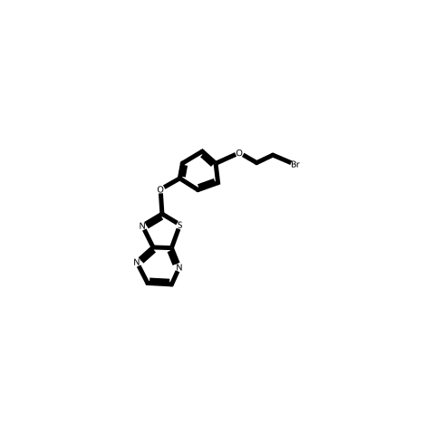 BrCCOc1ccc(Oc2nc3nccnc3s2)cc1